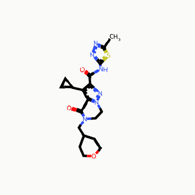 Cc1nnc(NC(=O)c2nn3c(c2C2CC2)C(=O)N(CC2CCOCC2)CC3)s1